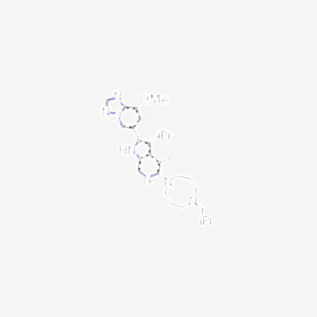 COc1cc(-c2[nH]c3cnc(N4CCCN(CC(C)C)CCC4)c(F)c3c2C(C)C)cn2ncnc12